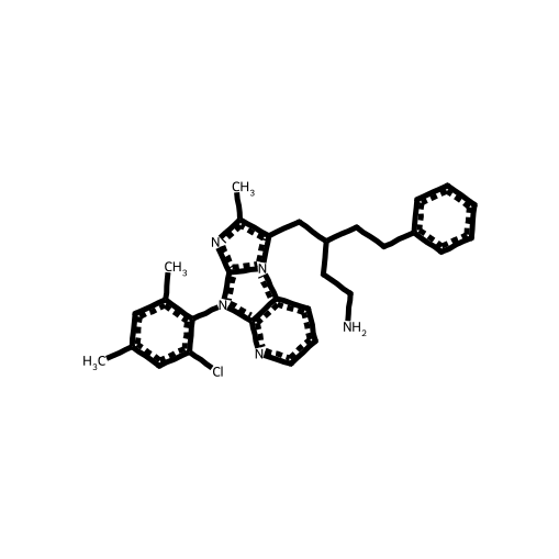 Cc1cc(C)c(-n2c3ncccc3n3c(CC(CCN)CCc4ccccc4)c(C)nc23)c(Cl)c1